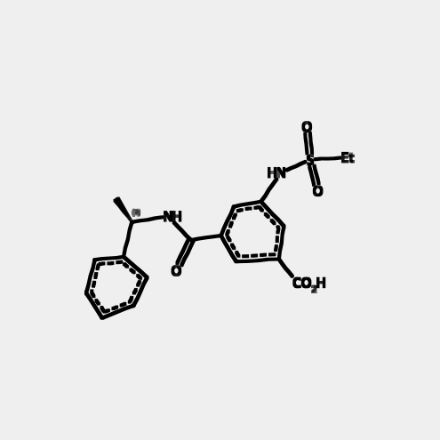 CCS(=O)(=O)Nc1cc(C(=O)O)cc(C(=O)N[C@H](C)c2ccccc2)c1